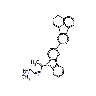 C=C(/C=C\C=N/C)n1c2ccccc2c2cc(-c3ccc4c(c3)C3=CCCc5cccc-4c53)ccc21